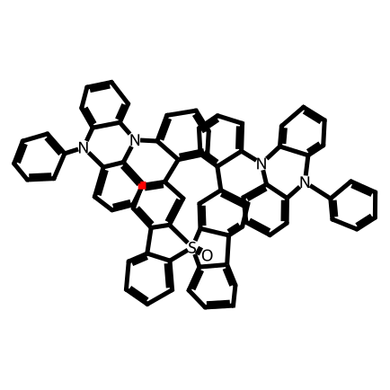 O=S12(c3ccccc3-c3ccc(-c4ccccc4N4c5ccccc5N(c5ccccc5)c5ccccc54)cc31)c1ccccc1-c1ccc(-c3ccccc3N3c4ccccc4N(c4ccccc4)c4ccccc43)cc12